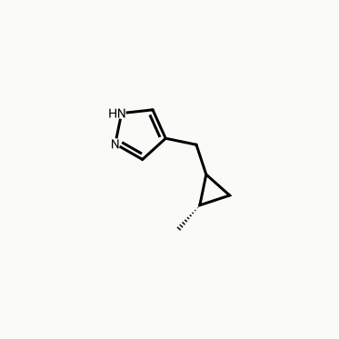 C[C@H]1CC1Cc1cn[nH]c1